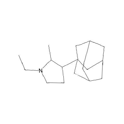 CCN1CCC(C23CC4CC(CC(C4)C2)C3)C1C